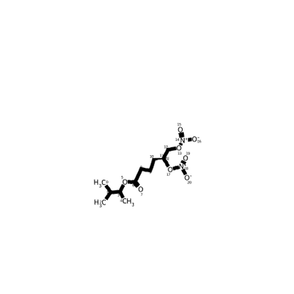 CC(C)C(C)OC(=O)CCC[C@@H](CO[N+](=O)[O-])O[N+](=O)[O-]